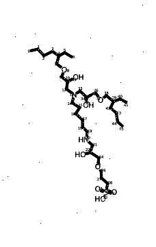 CCCCC(CC)COCC(O)CN(CCCCCCNCC(O)COCCCS(=O)(=O)O)CC(O)COCC(CC)CCCC